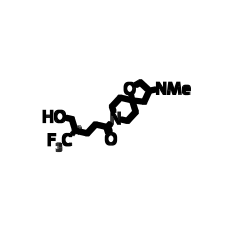 CNC1COC2(CCN(C(=O)CC[C@H](CO)C(F)(F)F)CC2)C1